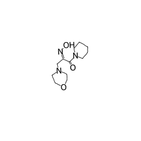 O=C(/C(CN1CCOCC1)=N\O)N1CCCCC1